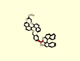 COC(=O)COc1ccc2ccccc2c1-c1c(OCc2ccc(COc3ccc4ccccc4c3-c3c(OCC(=O)OC)ccc4ccccc34)cc2)ccc2ccccc12